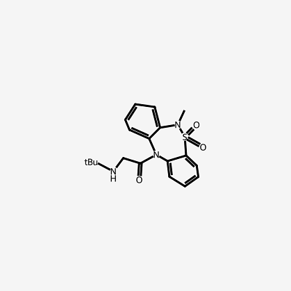 CN1c2ccccc2N(C(=O)CNC(C)(C)C)c2ccccc2S1(=O)=O